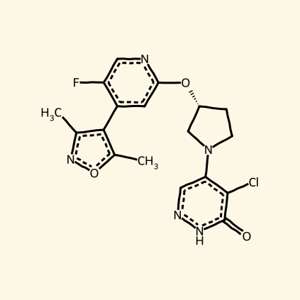 Cc1noc(C)c1-c1cc(O[C@@H]2CCN(c3cn[nH]c(=O)c3Cl)C2)ncc1F